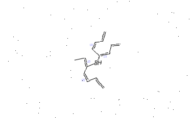 C=C/C=C\C(BC(/C=C\C=C)=C/C=C)=C/C